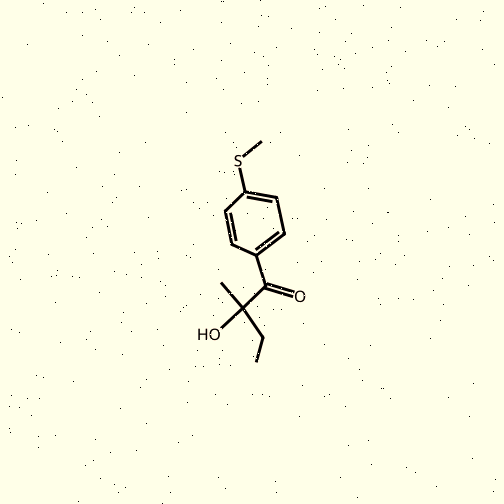 CCC(C)(O)C(=O)c1ccc(SC)cc1